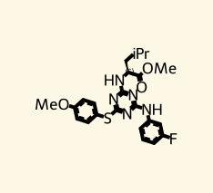 COC(=O)[C@H](CC(C)C)Nc1nc(Nc2cccc(F)c2)nc(Sc2ccc(OC)cc2)n1